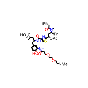 CC[C@H](C)CC(=O)N(C)C(C[C@@H](OC(C)=O)c1nc(C(=O)N[C@@H](Cc2ccc(O)c(NC(=O)CCOCCOCCNC)c2)CC(C)C(=O)O)cs1)C(C)C